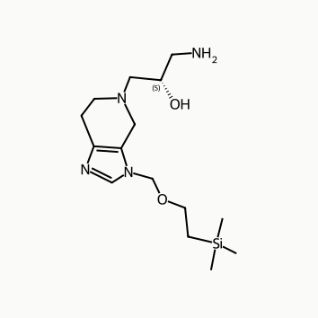 C[Si](C)(C)CCOCn1cnc2c1CN(C[C@@H](O)CN)CC2